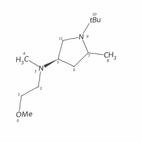 COCCN(C)[C@@H]1CC(C)N(C(C)(C)C)C1